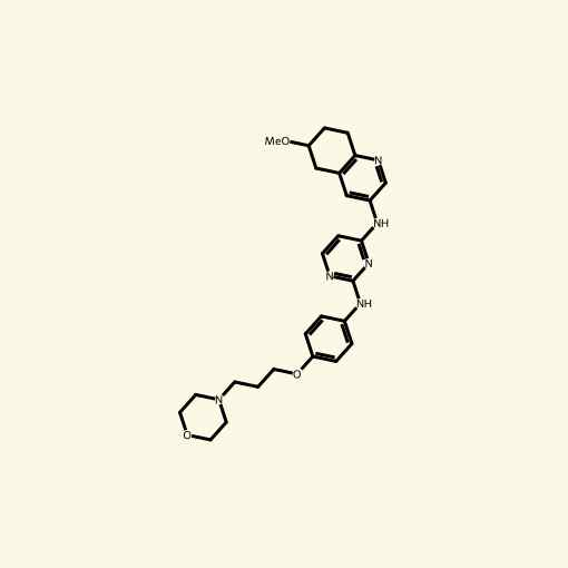 COC1CCc2ncc(Nc3ccnc(Nc4ccc(OCCCN5CCOCC5)cc4)n3)cc2C1